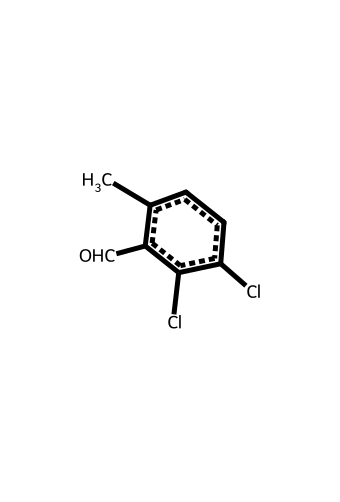 Cc1ccc(Cl)c(Cl)c1C=O